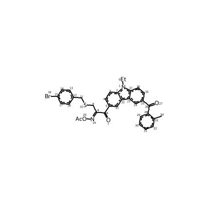 CCn1c2ccc(C(=O)/C(CSCc3ccc(Br)cc3)=N/OC(C)=O)cc2c2cc(C(=O)c3ccccc3C)ccc21